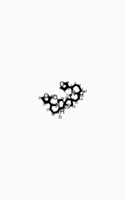 C[C@@H]1CCC(c2ccoc2)N2C[C@@]3(CC[C@@H]12)CS[C@@]1(C[C@@H](O)N2C(c4ccoc4)CC[C@@H](C)[C@@H]2C1)C3